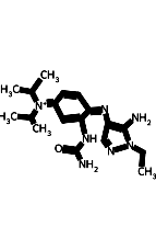 CCn1ncc(/N=C2/C=CC(=[N+](C(C)C)C(C)C)C=C2NC(N)=O)c1N